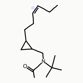 CC/C=C\CCC1CC1CN(C(C)=O)C(C)(C)C